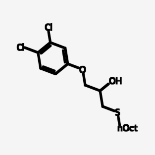 CCCCCCCCSCC(O)COc1ccc(Cl)c(Cl)c1